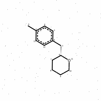 Cc1ccc(C[C@H]2CCCCO2)cc1